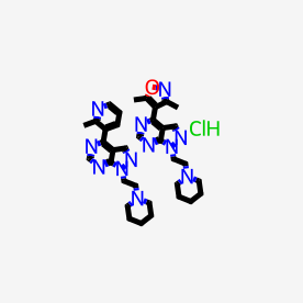 Cc1ncccc1-c1ncnc2c1cnn2CCN1CCCCC1.Cc1noc(C)c1-c1ncnc2c1cnn2CCN1CCCCC1.Cl